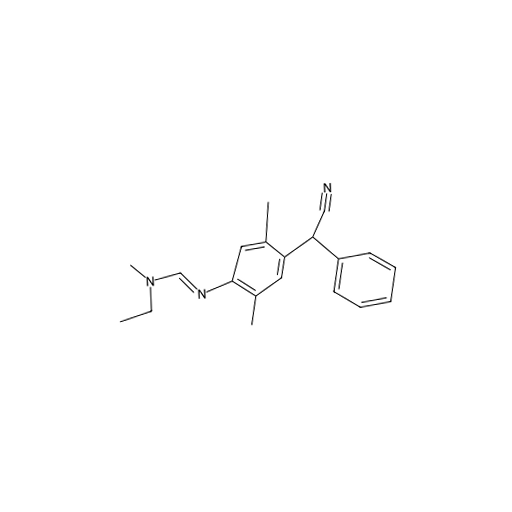 CCN(C)C=Nc1cc(C)c(C(C#N)c2ccccc2)cc1C